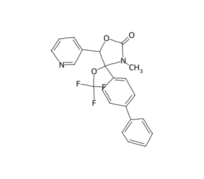 CN1C(=O)OC(c2cccnc2)C1(OC(F)(F)F)c1ccc(-c2ccccc2)cc1